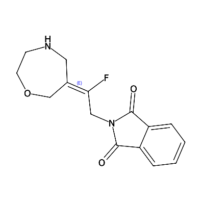 O=C1c2ccccc2C(=O)N1C/C(F)=C1/CNCCOC1